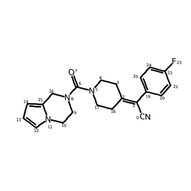 N#CC(=C1CCN(C(=O)N2CCn3cccc3C2)CC1)c1ccc(F)cc1